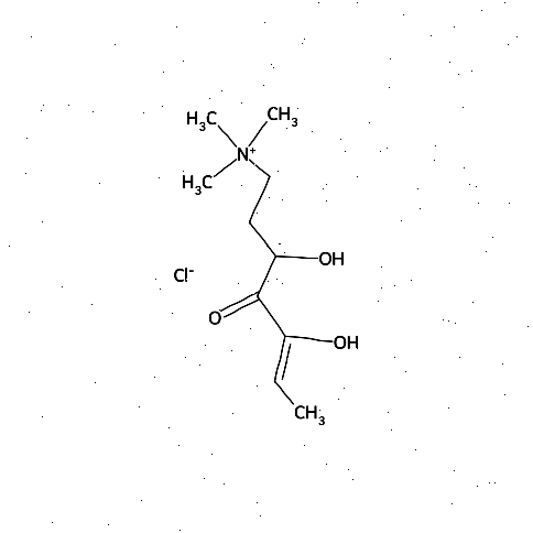 CC=C(O)C(=O)C(O)CC[N+](C)(C)C.[Cl-]